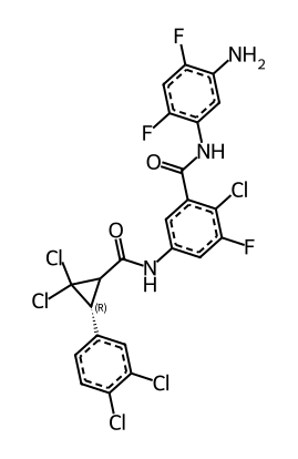 Nc1cc(NC(=O)c2cc(NC(=O)C3[C@H](c4ccc(Cl)c(Cl)c4)C3(Cl)Cl)cc(F)c2Cl)c(F)cc1F